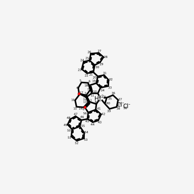 C1=C(C2CCCCC2)[CH]([Hf+2]2([CH]3C(C4CCCCC4)=Cc4c(-c5cccc6ccccc56)cccc43)[CH]3CCCC[CH]32)c2cccc(-c3cccc4ccccc34)c21.[Cl-].[Cl-]